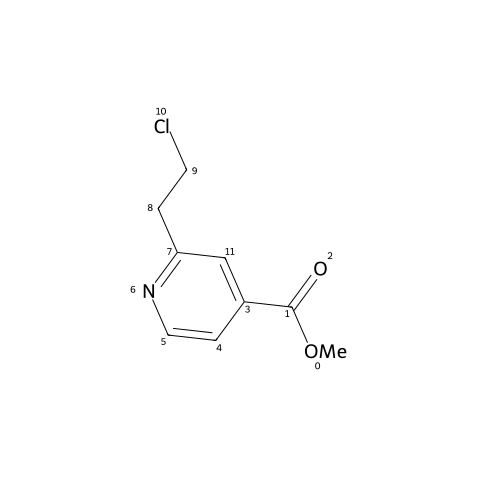 COC(=O)c1ccnc(CCCl)c1